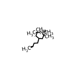 C=CCC[C]1[CH]C(C)(C)NC(C)(C)C1